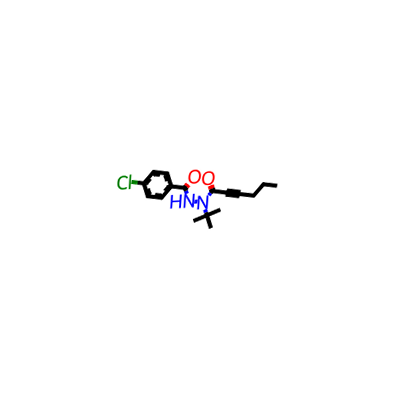 CCCC#CC(=O)N(NC(=O)c1ccc(Cl)cc1)C(C)(C)C